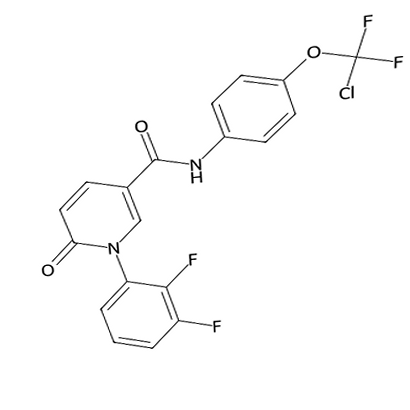 O=C(Nc1ccc(OC(F)(F)Cl)cc1)c1ccc(=O)n(-c2cccc(F)c2F)c1